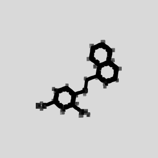 Cc1ncc(OCc2nccc3ccccc23)c(N)n1